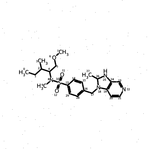 CCC(C)C(COC)N(C)S(=O)(=O)c1ccc(CN2c3ccncc3NC2C)cc1